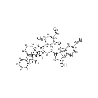 C[C@@]1(C(F)F)C(c2ccccc2)=CC=CC1(COc1cc(OCc2cncc(C#N)c2)c(C=O)cc1Cl)OCCCN1CCC(O)C1